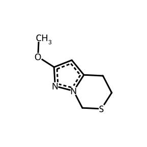 COc1cc2n(n1)CSCC2